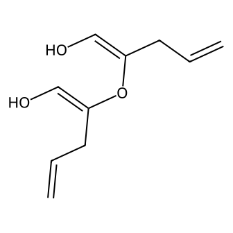 C=CCC(=CO)OC(=CO)CC=C